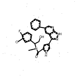 CN(C(=O)c1cc(-c2n[nH]c3ncc(-c4ccccc4)cc23)c[nH]1)C(CO)c1ccc(F)c(Cl)c1